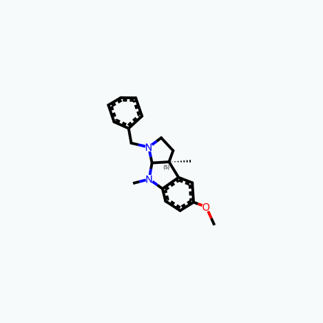 COc1ccc2c(c1)[C@]1(C)CCN(Cc3ccccc3)C1N2C